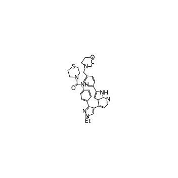 CCn1cc(C2=CC=NC3NC(c4ccc(CN5CCOCC5)cc4)=CC23)c(-c2ccc(NC(=O)N3CCSCC3)cc2)n1